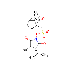 CC(C)=C1C(=O)N(OS(=O)(=O)CC23CCC(CC2=O)C3(C)C)C(=O)C1C(C)(C)C